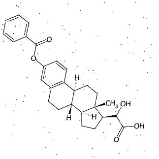 C[C@]12CC[C@@H]3c4ccc(OC(=O)c5ccccc5)cc4CC[C@H]3[C@@H]1CC[C@@H]2C(O)C(=O)O